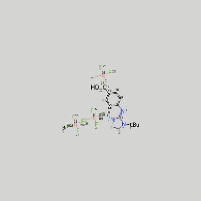 CC(C)(C)N1CCN(C(C)(C)C)C1=Nc1ccc(C(=O)O)cc1.F[B-](F)(F)F.F[B-](F)(F)F.F[B-](F)(F)F.[Bi+3]